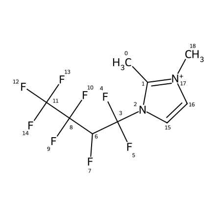 Cc1n(C(F)(F)C(F)C(F)(F)C(F)(F)F)cc[n+]1C